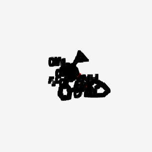 COC(=O)c1ccc(NC(=O)N2C3CCC2CC(OCc2c(-c4ccccc4C)noc2C2CC2)C3)cc1OC(F)(F)F